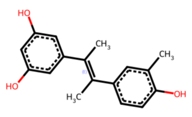 C/C(=C(/C)c1ccc(O)c(C)c1)c1cc(O)cc(O)c1